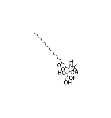 CCCCCCCCCCCCCCC(=O)CC(=O)[C@H](NC(C)=O)[C@@H](O)[C@H](O)[C@H](O)CO